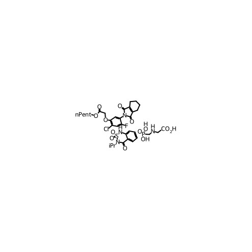 CC(C)N1C(=O)c2ccccc2NS1(=O)=O.CCCCCOC(=O)COc1cc(N2C(=O)C3=C(CCCC3)C2=O)c(F)cc1Cl.O=C(O)CNCP(=O)(O)O